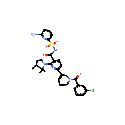 CC1CCN(c2nc(C3=CCCN(C(=O)c4cccc(Cl)c4)C3)ccc2C(=O)NS(=O)(=O)c2cccc(N)n2)C1(C)C